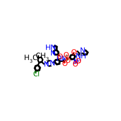 CC1(C)CCC(CN2CCN(c3ccc(C(=O)NS(=O)(=O)c4cc5c(c([N+](=O)[O-])c4)N[C@@H](c4ccccn4)CO5)c(Oc4cnc5[nH]ccc5c4)c3)CC2)=C(c2ccc(Cl)cc2)C1